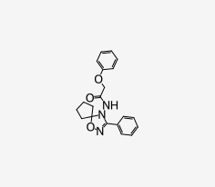 O=C(COc1ccccc1)NN1C(c2ccccc2)=NOC12CCCC2